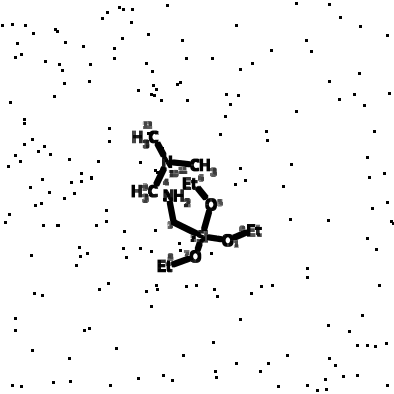 CCO[Si](CN)(OCC)OCC.CN(C)C